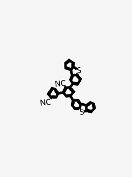 N#Cc1cccc(-c2cc(-c3ccc4sc5ccccc5c4c3)cc(-c3ccc4sc5ccccc5c4c3)c2C#N)c1